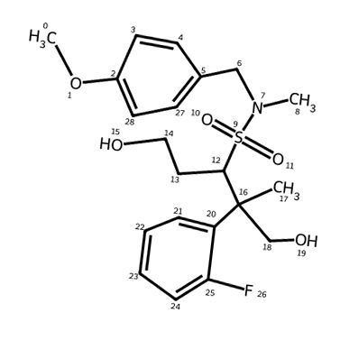 COc1ccc(CN(C)S(=O)(=O)C(CCO)C(C)(CO)c2ccccc2F)cc1